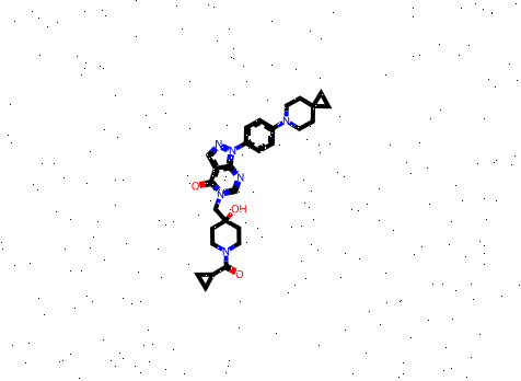 O=C(C1CC1)N1CCC(O)(Cn2cnc3c(cnn3-c3ccc(N4CCC5(CC4)CC5)cc3)c2=O)CC1